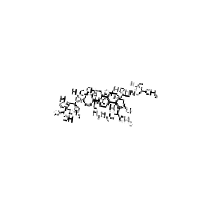 CC(C)CNC[C@@H](O)[C@@]12CC[C@]3(C)[C@H](CCC4[C@@]5(C)CC[C@H](OC(=O)CC(C)(C)C(=O)O)C(C)(C)C5CC[C@]43C)C1=C(C(C)C)C(=O)C2